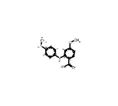 COc1ccc(C(=O)O)c(Sc2ccc(SC)cc2)c1